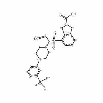 C=CC(N1CCN(c2cccc(C(F)(F)F)c2)CC1)S(=O)(=O)c1cccc2c1CC(C(=O)O)C2